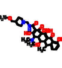 CC1c2cccc(O)c2C(=O)C2=C(O)C3(O)C(=O)C(C(=O)NCN4CCC(CO[N+](=O)[O-])CC4)=C(O)C(N(C)C)C3C(O)C21